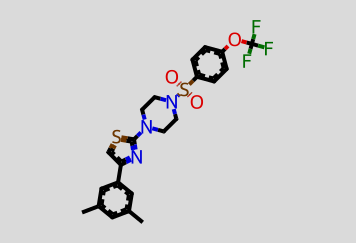 Cc1cc(C)cc(-c2csc(N3CCN(S(=O)(=O)c4ccc(OC(F)(F)F)cc4)CC3)n2)c1